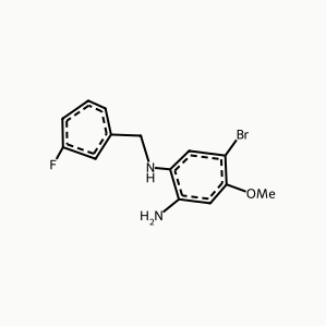 COc1cc(N)c(NCc2cccc(F)c2)cc1Br